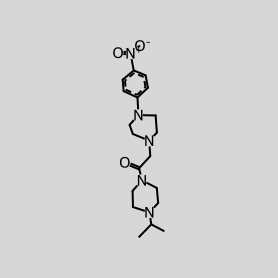 CC(C)N1CCN(C(=O)CN2CCN(c3ccc([N+](=O)[O-])cc3)CC2)CC1